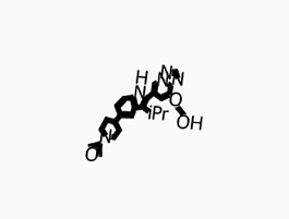 CC(C)c1c(-c2cc(OCCO)c3ncnn3c2)[nH]c2ccc(C3CCN(C4COC4)CC3)cc12